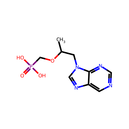 CC(Cn1cnc2cncnc21)OCP(=O)(O)O